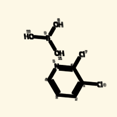 Clc1cccnc1Cl.OB(O)O